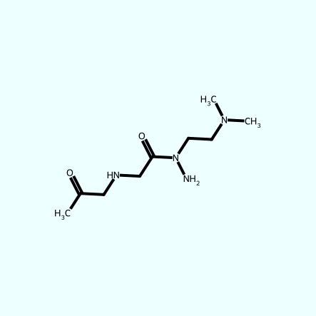 CC(=O)CNCC(=O)N(N)CCN(C)C